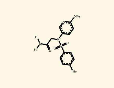 CCN(CC)C(=O)CN(c1ccc(OC)nc1)S(=O)(=O)c1ccc(C(C)(C)C)cc1